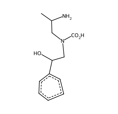 CC(N)CN(CC(O)c1ccccc1)C(=O)O